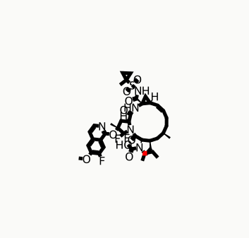 CCC(C)N(C(=O)O)[C@@H]1C(=O)N2[C@@H](C[C@@](C)(Oc3nccc4cc(OC)c(F)cc34)C2(F)F)C(=O)N[C@]2(C(=O)NS(=O)(=O)C3(C)CC3)C[C@H]2/C=C\CC[C@@H](C)C[C@H]1CC